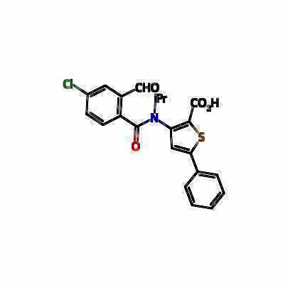 CC(C)N(C(=O)c1ccc(Cl)cc1C=O)c1cc(-c2ccccc2)sc1C(=O)O